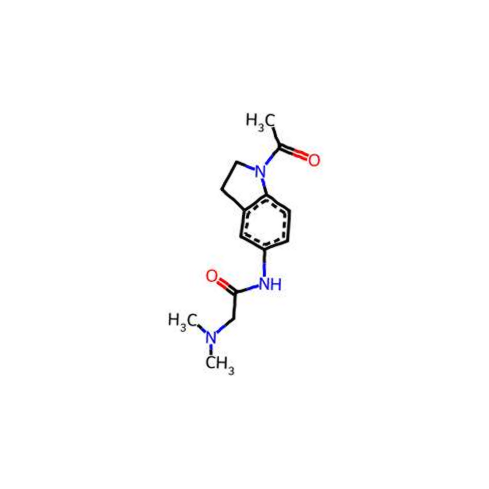 CC(=O)N1CCc2cc(NC(=O)CN(C)C)ccc21